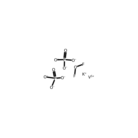 FOF.O=P([O-])([O-])[O-].O=P([O-])([O-])[O-].[K+].[V+5]